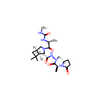 C=CC(=O)N(C[C@@H]1CCC(=O)N1)NC(=O)[C@@H]1[C@@H]2[C@H](CN1C(=O)[C@@H](NC(=O)NC(C)(C)C)C(C)(C)C)CC2(C)C